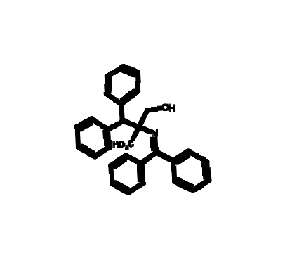 O=C(O)C(CO)(N=C(c1ccccc1)c1ccccc1)C(c1ccccc1)c1ccccc1